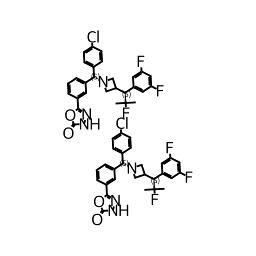 CC(C)(F)[C@H](c1cc(F)cc(F)c1)C1CN([C@@H](c2ccc(Cl)cc2)c2cccc(-c3n[nH]c(=O)o3)c2)C1.CC(C)(F)[C@H](c1cc(F)cc(F)c1)C1CN([C@@H](c2ccc(Cl)cc2)c2cccc(-c3n[nH]c(=O)o3)c2)C1